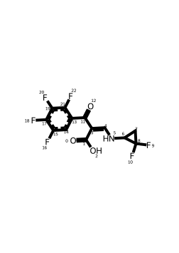 O=C(O)C(=CNC1CC1(F)F)C(=O)c1cc(F)c(F)c(F)c1F